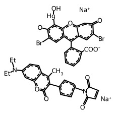 CCN(CC)c1ccc2c(C)c(-c3ccc(N4C(=O)C=CC4=O)cc3)c(=O)oc2c1.O=C([O-])c1ccccc1-c1c2cc(Br)c(=O)cc-2oc2[c]([Hg][OH])c([O-])c(Br)cc12.[Na+].[Na+]